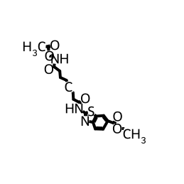 CCOC(=O)c1ccc2nc(NC(=O)CCCCCCC(=O)NOC(C)=O)sc2c1